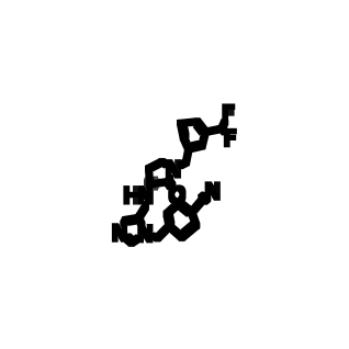 N#Cc1ccc(Cn2cncc2CN[C@H]2CCN(Cc3cccc(C(F)F)c3)C2=O)cc1